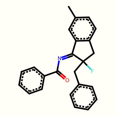 Cc1ccc2c(c1)/C(=N/C(=O)c1ccccc1)C(F)(Cc1ccccc1)C2